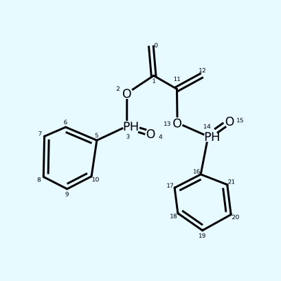 C=C(O[PH](=O)c1ccccc1)C(=C)O[PH](=O)c1ccccc1